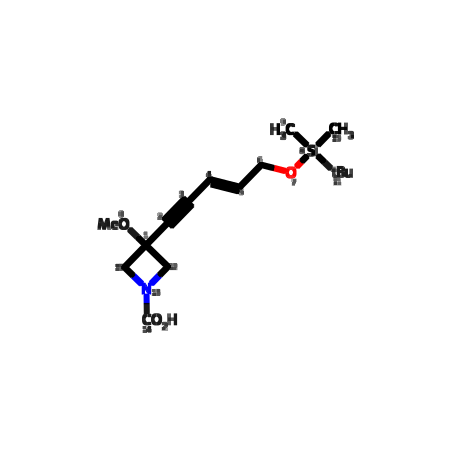 COC1(C#CC=CCO[Si](C)(C)C(C)(C)C)CN(C(=O)O)C1